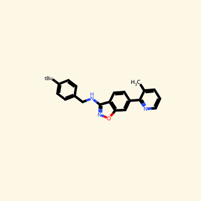 Cc1cccnc1-c1ccc2c(NCc3ccc(C(C)(C)C)cc3)noc2c1